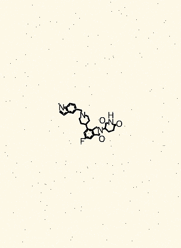 Cn1ccc2cc(CN3CCC(c4cc(F)cc5c4CN(C4CCC(=O)NC4=O)C5=O)CC3)ccc21